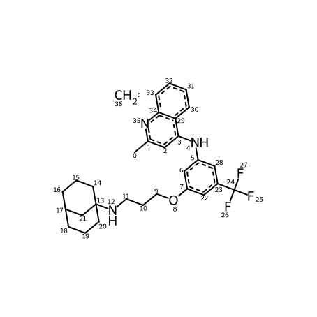 Cc1cc(Nc2cc(OCCCNC34CCCC(CCC3)C4)cc(C(F)(F)F)c2)c2ccccc2n1.[CH2]